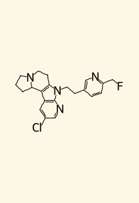 FCc1ccc(CCn2c3c(c4cc(Cl)cnc42)C2CCCN2CC3)cn1